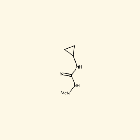 CNNC(=S)NC1CC1